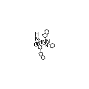 C1=Cc2c(oc3cc(-c4ccc5ccccc5c4)cc(C4=NC(c5ccccc5)=NC(c5ccc6ccccc6c5)N4)c23)CN1